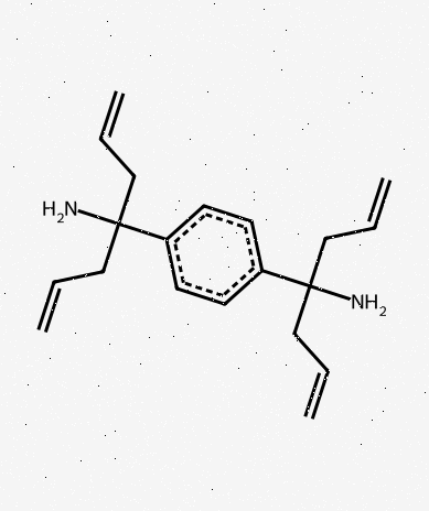 C=CCC(N)(CC=C)c1ccc(C(N)(CC=C)CC=C)cc1